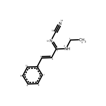 CCNC(C=Cc1ccccc1)=NC#N